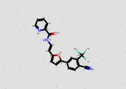 N#Cc1ccc(-c2ccc(C=CNC(=O)c3ccccn3)o2)cc1C(F)(F)F